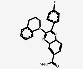 COC(=O)C1=CC2N=C(N3CCCc4ccccc43)C(c3ccc(F)cc3)=NC2C=C1